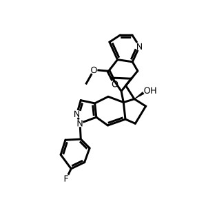 COC(=O)c1cccnc1CC[C@]1(O)CCC2=Cc3c(cnn3-c3ccc(F)cc3)CC21C1CC1